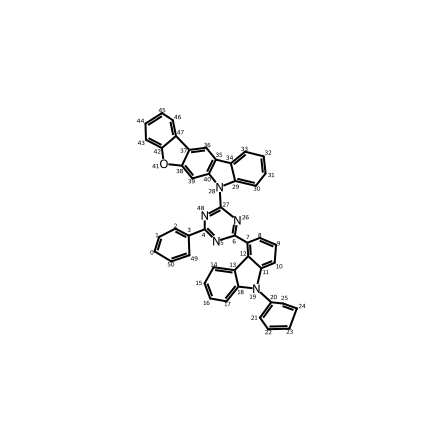 c1ccc(-c2nc(-c3cccc4c3c3ccccc3n4-c3ccccc3)nc(-n3c4ccccc4c4cc5c(cc43)oc3ccccc35)n2)cc1